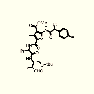 CCC(C(=O)Nc1sc(C(=O)N[C@@H](C(=O)N[C@@H](COC(C)(C)C)[C@@H](C)C=O)C(C)C)c(C)c1C(=O)OC)c1ccc(F)cc1